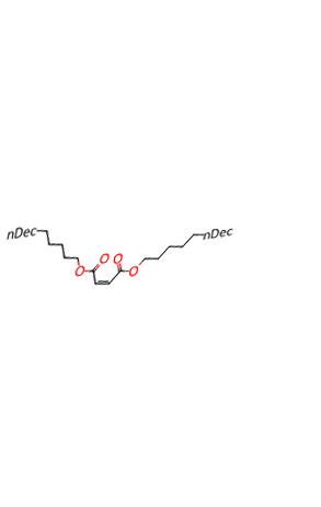 CCCCCCCCCCCCCCCOC(=O)/C=C\C(=O)OCCCCCCCCCCCCCCC